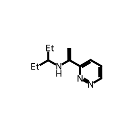 C=C(NC(CC)CC)c1cccnn1